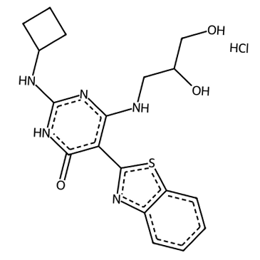 Cl.O=c1[nH]c(NC2CCC2)nc(NCC(O)CO)c1-c1nc2ccccc2s1